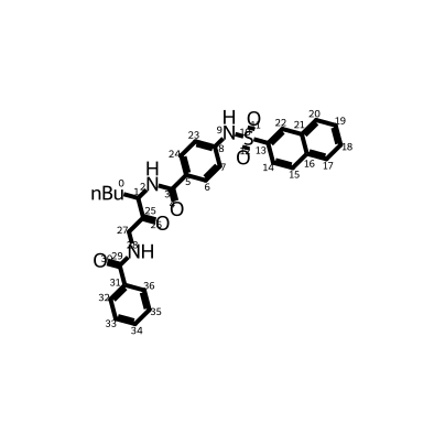 CCCCC(NC(=O)c1ccc(NS(=O)(=O)c2ccc3ccccc3c2)cc1)C(=O)CNC(=O)c1ccccc1